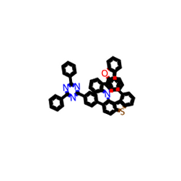 c1ccc(-c2nc(-c3ccccc3)nc(-c3ccc(-c4ccc5sc6cccc(-c7ccc8oc9ccccc9c8c7)c6c5c4-n4c5ccccc5c5ccccc54)cc3)n2)cc1